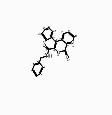 O=C(NCc1ccccc1)c1oc(=O)c2ncccc2c1-c1ccccc1